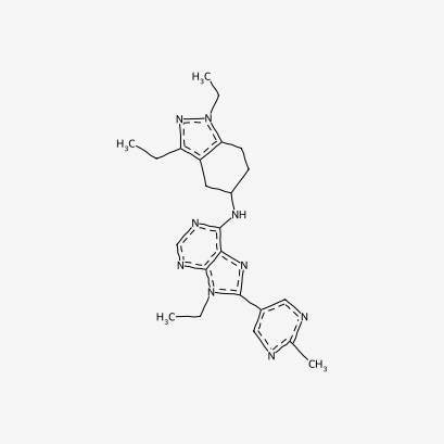 CCc1nn(CC)c2c1CC(Nc1ncnc3c1nc(-c1cnc(C)nc1)n3CC)CC2